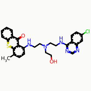 Cc1ccc(NCCN(CCO)CCNc2ncnc3cc(Cl)ccc23)c2c(=O)c3ccccc3sc12